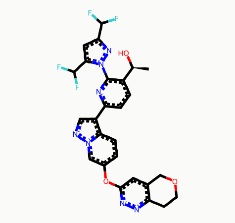 C[C@H](O)c1ccc(-c2cnn3cc(Oc4cc5c(nn4)CCOC5)ccc23)nc1-n1nc(C(F)F)cc1C(F)F